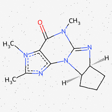 Cc1nc2c(n1C)C(=O)N(C)C1=N[C@H]3CCC[C@H]3N12